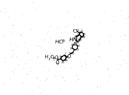 CCOC(=O)c1ccc(OCCC2CCN(N3C=c4cccc(Cl)c4=CN3)CC2)cc1.Cl